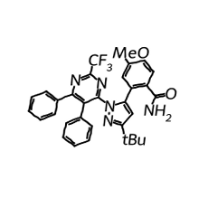 COc1ccc(C(N)=O)c(-c2cc(C(C)(C)C)nn2-c2nc(C(F)(F)F)nc(-c3ccccc3)c2-c2ccccc2)c1